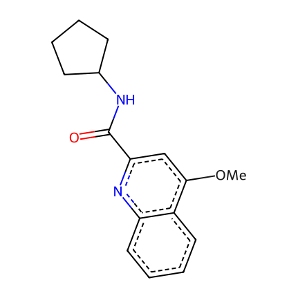 COc1cc(C(=O)NC2CCCC2)nc2ccccc12